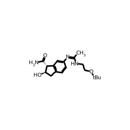 CC(=Nc1ccc2c(c1)[C@@H](C(N)=O)[C@H](O)C2)NCCOC(C)(C)C